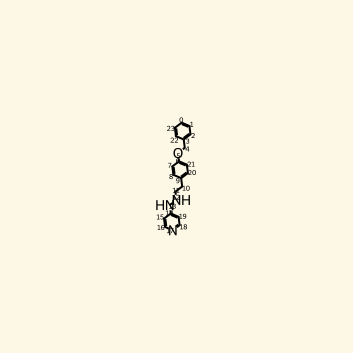 c1ccc(COc2ccc(CCNNc3ccncc3)cc2)cc1